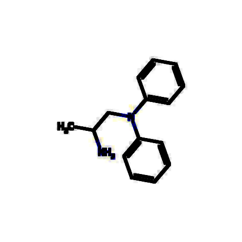 CC(N)CN(c1ccccc1)c1ccccc1